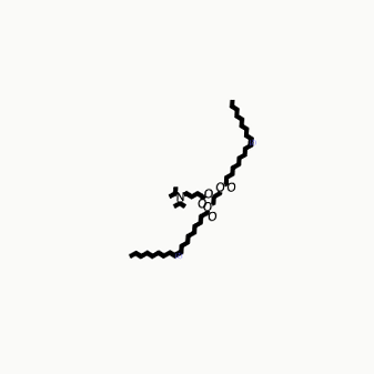 CCCCCCCC/C=C\CCCCCCCC(=O)OCC(COC(=O)CCCCCCC/C=C\CCCCCCCC)OC(=O)CCCN(C(C)C)C(C)C